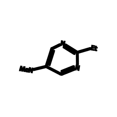 CCc1ncc(NC)cn1